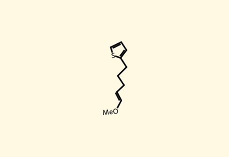 COC=CCCCc1cccs1